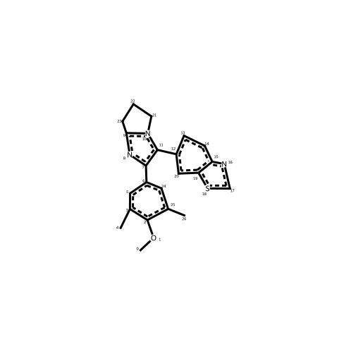 COc1c(C)cc(-c2nc3n(c2-c2ccc4ncsc4c2)CCC3)cc1C